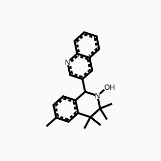 Cc1ccc2c(c1)C(C)(C)C(C)(C)N(O)C2c1cnc2ccccc2c1